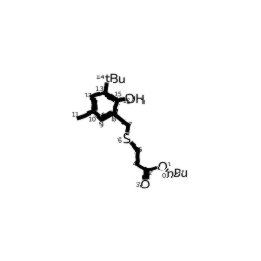 CCCCOC(=O)CCSCc1cc(C)cc(C(C)(C)C)c1O